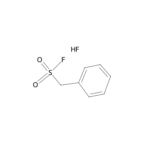 F.O=S(=O)(F)Cc1ccccc1